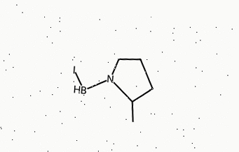 CC1CCCN1BI